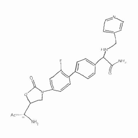 CC(=O)[C@@H](N)C1CN(c2ccc(-c3ccc(C(NCc4ccncc4)C(N)=O)cc3)c(F)c2)C(=O)O1